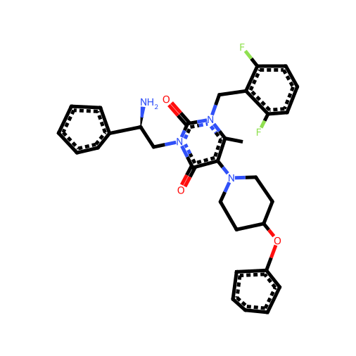 Cc1c(N2CCC(Oc3ccccc3)CC2)c(=O)n(C[C@H](N)c2ccccc2)c(=O)n1Cc1c(F)cccc1F